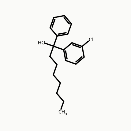 CCCCCCCC(O)(c1ccccc1)c1cccc(Cl)c1